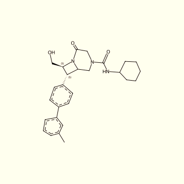 Cc1cccc(-c2ccc([C@H]3C4CN(C(=O)NC5CCCCC5)CC(=O)N4[C@@H]3CO)cc2)c1